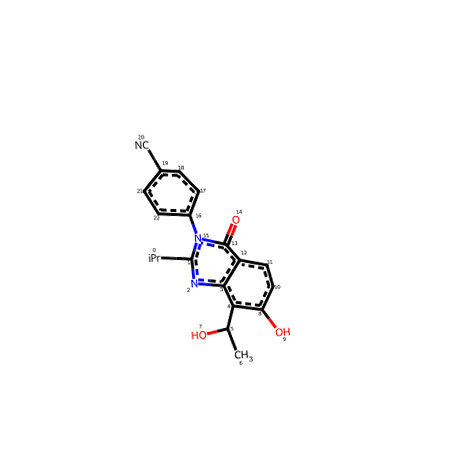 CC(C)c1nc2c(C(C)O)c(O)ccc2c(=O)n1-c1ccc(C#N)cc1